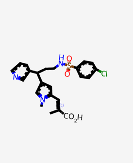 C/C(=C\c1cc(C(CCNS(=O)(=O)c2ccc(Cl)cc2)c2cccnc2)cn1C)C(=O)O